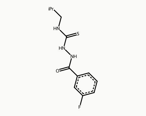 CC(C)CNC(=S)NNC(=O)c1cccc(F)c1